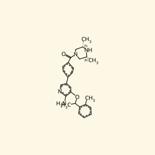 Cc1ccccc1C(C)Oc1cc(-c2ccc(C(=O)N3C[C@@H](C)N[C@@H](C)C3)cc2)cnc1N